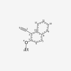 C#Cc1c(OCC)ccc2ccccc12